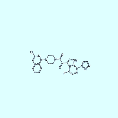 O=C(C(=O)N1CCN(c2nc(Cl)cc3ccccc23)CC1)c1c[nH]c2c(-n3ccnn3)ncc(F)c12